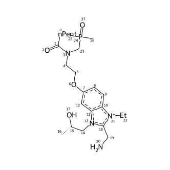 CCCCCC(=O)N(CCOc1ccc2c(c1)n(C[C@H](C)O)c(CN)[n+]2CC)CP(C)(C)=O